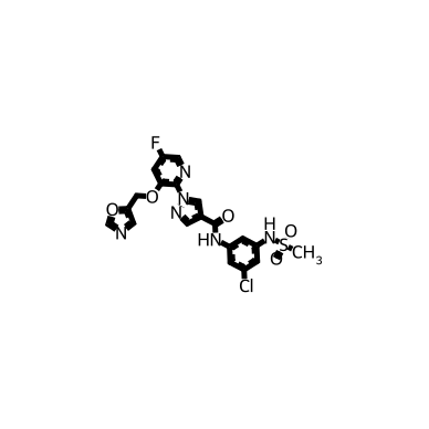 CS(=O)(=O)Nc1cc(Cl)cc(NC(=O)c2cnn(-c3ncc(F)cc3OCc3cnco3)c2)c1